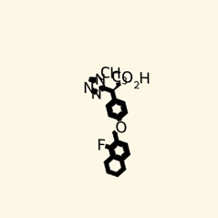 Cn1cnnc1[C@@H](CC(=O)O)c1ccc(OCc2ccc3c(c2F)CCCC3)cc1